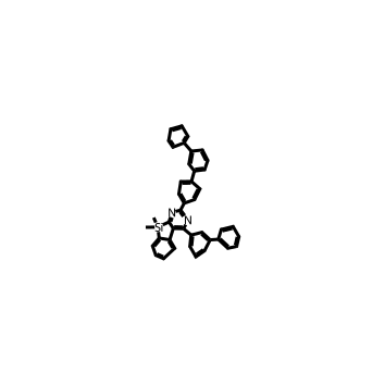 C[Si]1(C)c2ccccc2-c2c(-c3cccc(-c4ccccc4)c3)nc(-c3ccc(-c4cccc(-c5ccccc5)c4)cc3)nc21